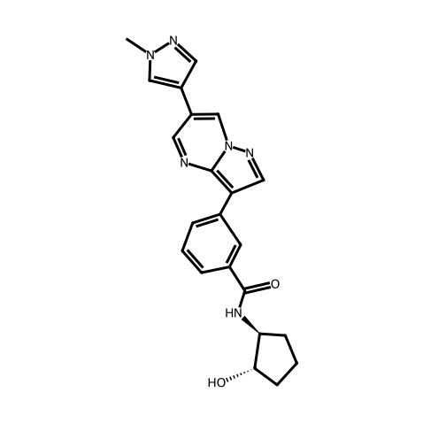 Cn1cc(-c2cnc3c(-c4cccc(C(=O)N[C@H]5CCC[C@@H]5O)c4)cnn3c2)cn1